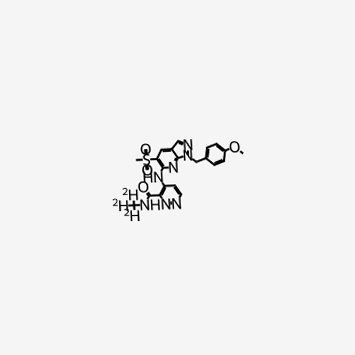 [2H]C([2H])([2H])NC(=O)c1nnccc1Nc1nc2c(cnn2Cc2ccc(OC)cc2)cc1S(C)(=O)=O